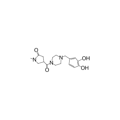 CN1CC(C(=O)N2CCN(Cc3ccc(O)c(O)c3)CC2)CC1=O